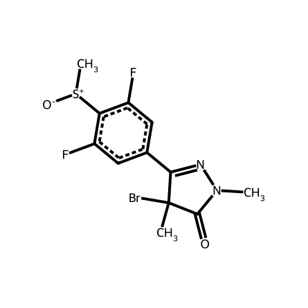 CN1N=C(c2cc(F)c([S+](C)[O-])c(F)c2)C(C)(Br)C1=O